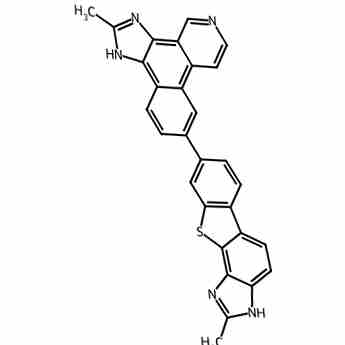 Cc1nc2c(ccc3c4ccc(-c5ccc6c(c5)c5ccncc5c5nc(C)[nH]c65)cc4sc32)[nH]1